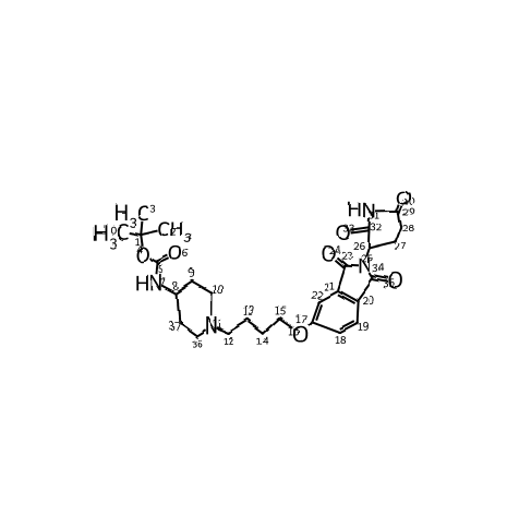 CC(C)(C)OC(=O)NC1CCN(CCCCOc2ccc3c(c2)C(=O)N(C2CCC(=O)NC2=O)C3=O)CC1